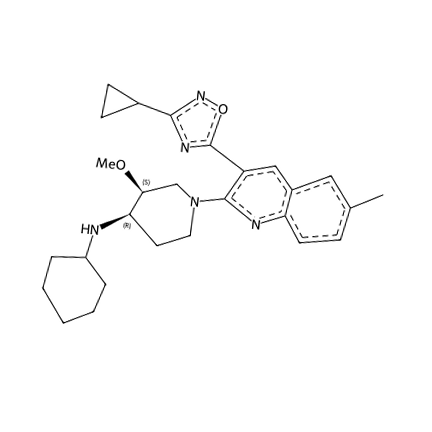 CO[C@H]1CN(c2nc3ccc(C)cc3cc2-c2nc(C3CC3)no2)CC[C@H]1NC1CCCCC1